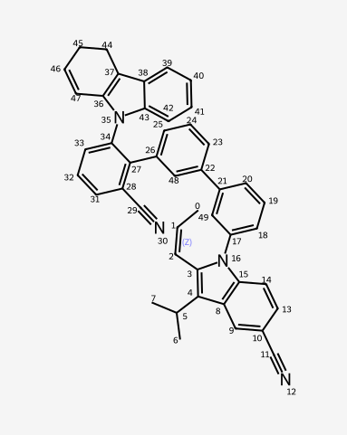 C/C=C\c1c(C(C)C)c2cc(C#N)ccc2n1-c1cccc(-c2cccc(-c3c(C#N)cccc3-n3c4c(c5ccccc53)CCC=C4)c2)c1